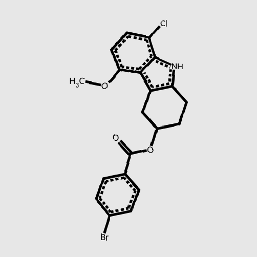 COc1ccc(Cl)c2[nH]c3c(c12)CC(OC(=O)c1ccc(Br)cc1)CC3